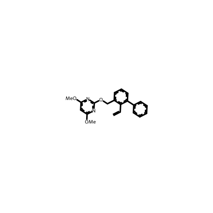 C=Cc1c(COc2nc(OC)cc(OC)n2)cccc1-c1ccccc1